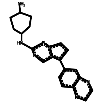 NC1CCC(Nc2ncc3c(-c4ccc5nccnc5c4)ccn3n2)CC1